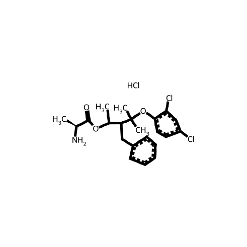 CC(OC(=O)[C@H](C)N)C(Cc1ccccc1)C(C)(C)Oc1ccc(Cl)cc1Cl.Cl